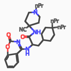 CCCN1CCC(C#N)(NC(=O)C(CC2CCC(CCC)(CCC)CC2)Nc2nc(=O)oc3ccccc23)CC1